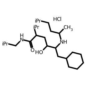 CC(C)CCC(C)NC(CC1CCCCC1)C(O)CC(C(=O)NCC(C)C)C(C)C.Cl